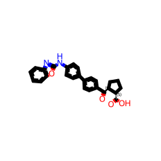 O=C(O)[C@H]1CCC[C@@H]1C(=O)c1ccc(-c2ccc(Nc3nc4ccccc4o3)cc2)cc1